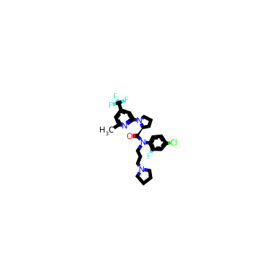 Cc1cc(C(F)(F)F)cc(N2CCC[C@H]2C(=O)N(CCCN2CCCC2)c2ccc(Cl)cc2F)n1